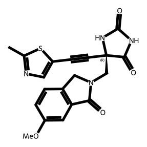 COc1ccc2c(c1)C(=O)N(C[C@@]1(C#Cc3cnc(C)s3)NC(=O)NC1=O)C2